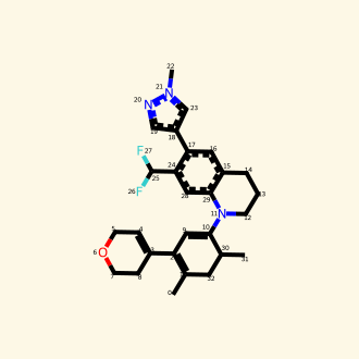 CC1=C(C2=CCOCC2)C=C(N2CCCc3cc(-c4cnn(C)c4)c(C(F)F)cc32)C(C)C1